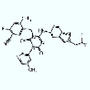 Cc1cncc(-n2c(=O)nc(Nc3ccc4nn(CC(F)F)cc4c3)n(Cc3cc(C#N)c(F)cc3C)c2=O)c1